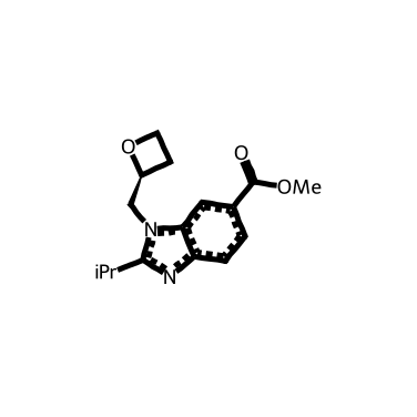 COC(=O)c1ccc2nc(C(C)C)n(C[C@@H]3CCO3)c2c1